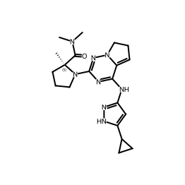 CN(C)C(=O)[C@]1(C)CCCN1C1=NN2CCC=C2C(Nc2cc(C3CC3)[nH]n2)=N1